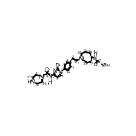 C[C@@H]1CN(C(=O)Nc2ccn(-c3ccc(CCN4CCCC(NC(=O)OC(C)(C)C)CC4)cc3)c(=O)n2)CCN1